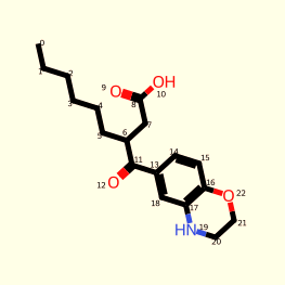 CCCCCCC(CC(=O)O)C(=O)c1ccc2c(c1)NCCO2